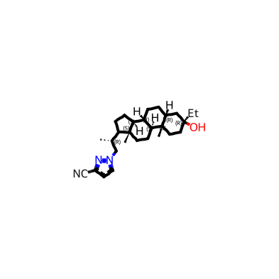 CC[C@@]1(O)CC[C@@]2(C)[C@H](CC[C@@H]3[C@@H]2CC[C@]2(C)C([C@@H](C)Cn4ccc(C#N)n4)CC[C@@H]32)C1